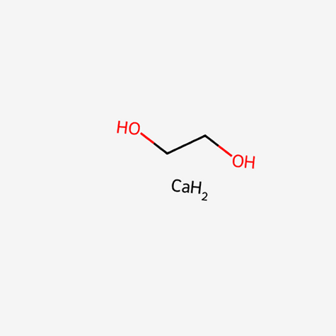 OCCO.[CaH2]